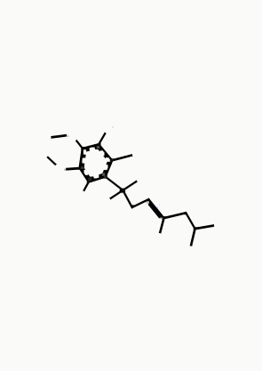 COc1c(O)c(C)c(C(C)(C)C/C=C(\C)CC(C)C)c(O)c1OC